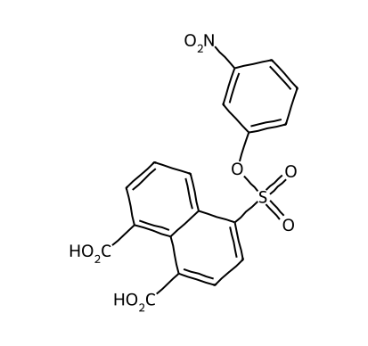 O=C(O)c1cccc2c(S(=O)(=O)Oc3cccc([N+](=O)[O-])c3)ccc(C(=O)O)c12